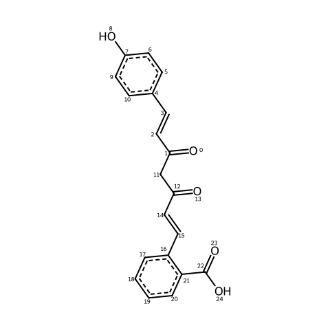 O=C(C=Cc1ccc(O)cc1)CC(=O)C=Cc1ccccc1C(=O)O